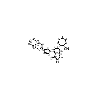 N#C[C@H]1CCCCC[C@H]1c1cc(-n2ccc(N3CCC4(CCOCC4)CC3)n2)c2c(n1)CNC2=O